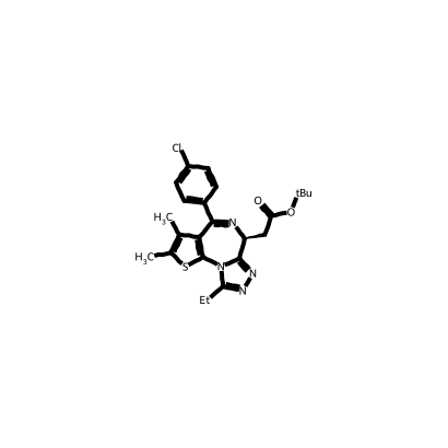 CCc1nnc2n1-c1sc(C)c(C)c1C(c1ccc(Cl)cc1)=N[C@H]2CC(=O)OC(C)(C)C